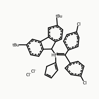 CC(C)(C)c1ccc2c(c1)-c1cc(C(C)(C)C)ccc1[CH]2[Hf+2]([C]1=CC=CC1)=[C](c1ccc(Cl)cc1)c1ccc(Cl)cc1.[Cl-].[Cl-]